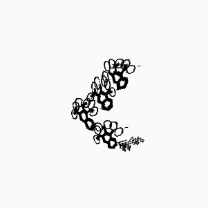 O=C([O-])c1cc2ccccc2c(C(=O)[O-])c1C(=O)[O-].O=C([O-])c1cc2ccccc2c(C(=O)[O-])c1C(=O)[O-].O=C([O-])c1cc2ccccc2c(C(=O)[O-])c1C(=O)[O-].O=C([O-])c1cc2ccccc2c(C(=O)[O-])c1C(=O)[O-].[Ti+4].[Ti+4].[Ti+4]